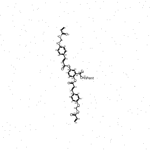 C=CC(=O)OCOc1ccc(C=CC(=O)Oc2ccc(OC(=O)C=Cc3ccc(OCOC(=O)C=C)cc3)c(C(=O)OCCCCC)c2)cc1